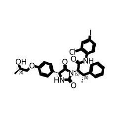 C[C@@H](O)COc1ccc([C@H]2NC(=O)N([C@H](C(=O)Nc3ccc(I)cc3Cl)[C@@H](C)c3ccccc3)C2=O)cc1